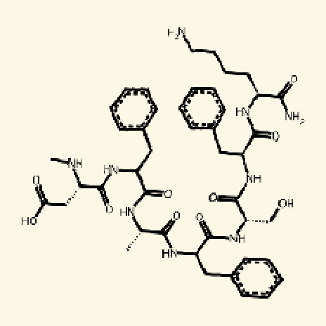 CN[C@@H](CC(=O)O)C(=O)NC(Cc1ccccc1)C(=O)N[C@@H](C)C(=O)NC(Cc1ccccc1)C(=O)N[C@@H](CO)C(=O)NC(Cc1ccccc1)C(=O)N[C@@H](CCCCN)C(N)=O